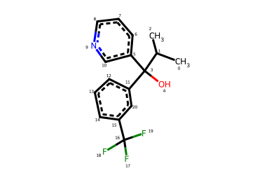 CC(C)C(O)(c1cccnc1)c1cccc(C(F)(F)F)c1